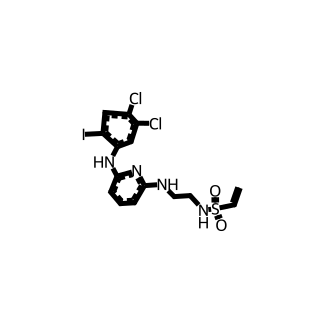 C=CS(=O)(=O)NCCNc1cccc(Nc2cc(Cl)c(Cl)cc2I)n1